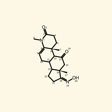 CN1C(=O)CC[C@@]2(C)C1=CCC1C2C(=O)C[C@]2(C)/C(=N\O)CCC12